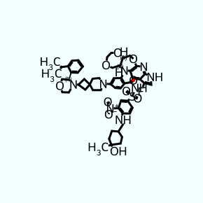 CC(C)c1ccccc1[C@@H]1COCCN1C1CC2(CCN(c3ccc(C(=O)NS(=O)(=O)c4ccc(NCC5CCC(C)(O)CC5)c([N+](=O)[O-])c4)c(N4c5cc6c(F)c[nH]c6nc5OC[C@@H]5OCCOC[C@H]54)c3)CC2)C1